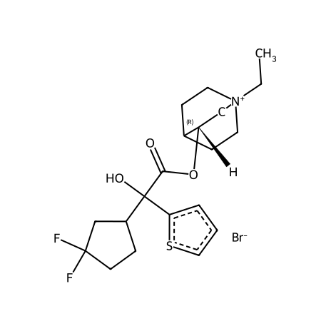 CC[N+]12CCC(CC1)[C@@H](OC(=O)C(O)(c1cccs1)C1CCC(F)(F)C1)C2.[Br-]